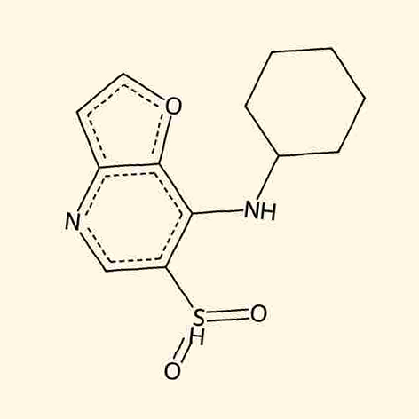 O=[SH](=O)c1cnc2ccoc2c1NC1CCCCC1